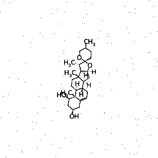 CC1CC[C@@]2(OC1)O[C@H]1C[C@H]3[C@@H]4CC=C5C[C@@H](O)C[C@@H](O)[C@]5(C)[C@H]4CC[C@]3(C)[C@H]1[C@@H]2C